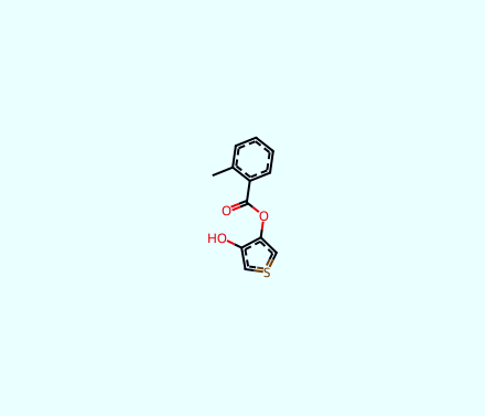 Cc1ccccc1C(=O)Oc1cscc1O